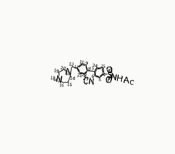 CC(=O)NS(=O)(=O)c1ccc(-c2ccc(CN3CCCN(C)CC3)cc2C#N)cc1